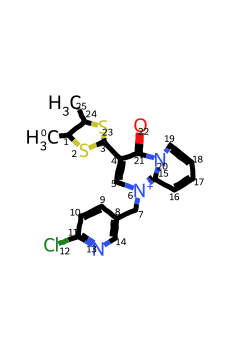 CC1SC(c2c[n+](Cc3ccc(Cl)nc3)c3ccccn3c2=O)SC1C